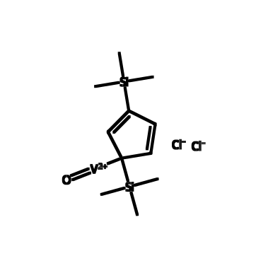 C[Si](C)(C)C1=C[C]([V+2]=[O])([Si](C)(C)C)C=C1.[Cl-].[Cl-]